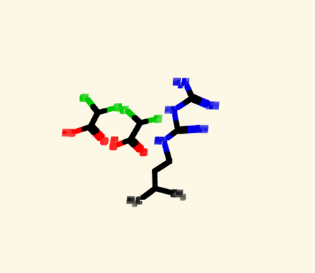 CC(C)CCNC(=N)NC(=N)N.O=C(O)C(Cl)Cl.O=C(O)C(Cl)Cl